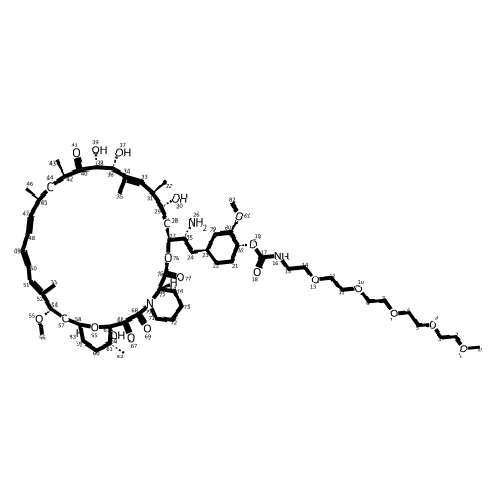 COCCOCCOCCOCCOCCNC(=O)O[C@@H]1CC[C@@H](C[C@@H](N)[C@@H]2C[C@@H](O)[C@H](C)/C=C(\C)[C@@H](O)[C@@H](O)C(=O)[C@H](C)C[C@H](C)/C=C/C=C/C=C(\C)[C@@H](OC)C[C@@H]3CC[C@@H](C)[C@@](O)(O3)C(=O)C(=O)N3CCCC[C@H]3C(=O)O2)C[C@H]1OC